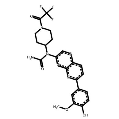 COc1cc(-c2ccc3ncc(N(C(N)=O)C4CCN(C(=O)C(F)(F)F)CC4)nc3n2)ccc1O